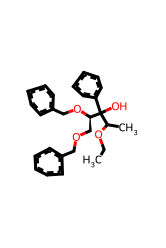 CCOC(C)C(O)(c1ccccc1)[C@@H](COCc1ccccc1)OCc1ccccc1